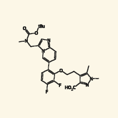 Cc1c(CCOc2c(-c3ccc4ncc(CN(C)C(=O)OC(C)(C)C)n4c3)ccc(F)c2F)c(C(=O)O)nn1C